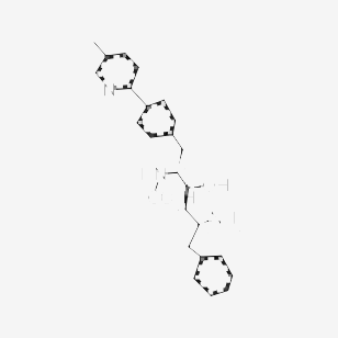 Cc1ccc(-c2ccc(C[C@H](NC(=O)O)[C@@H](O)C[C@@H](N)Cc3ccccc3)cc2)nc1